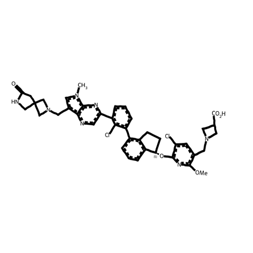 COc1nc(O[C@H]2CCc3c(-c4cccc(-c5cnc6c(CN7CC8(CNC(=O)C8)C7)cn(C)c6n5)c4Cl)cccc32)c(Cl)cc1CN1CC(C(=O)O)C1